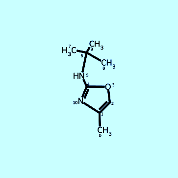 Cc1coc(NC(C)(C)C)n1